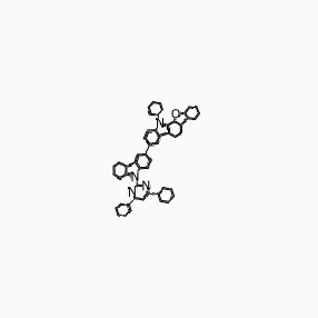 c1ccc(-c2cc(-c3ccccc3)nc(-n3c4ccccc4c4cc(-c5ccc6c(c5)c5ccc7c8ccccc8oc7c5n6-c5ccccc5)ccc43)n2)cc1